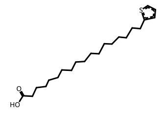 O=C(O)CCCCCCCCCCCCCCCCCc1cccs1